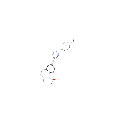 CC(=O)N1c2ccc(-c3cnn(C4CCN(C(=O)O)CC4)c3)cc2CCC1C